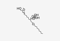 CCCCCCCCCOCCCCCCCCSCC(CO)OC.O=P(O)(O)O